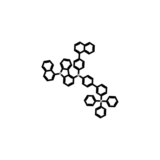 c1ccc([Si](c2ccccc2)(c2ccccc2)c2cccc(-c3ccc(N(c4ccc(-c5cccc6ccccc56)cc4)c4cccc5c4c4ccccc4n5-c4cccc5ccccc45)cc3)c2)cc1